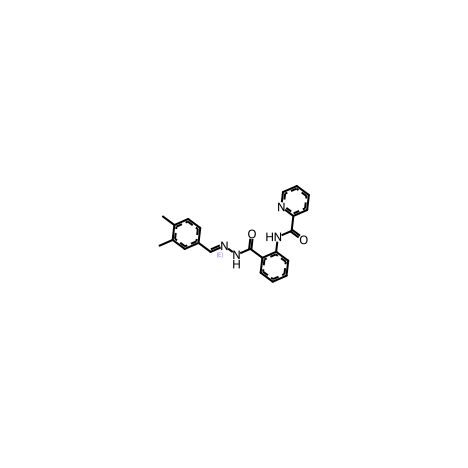 Cc1ccc(/C=N/NC(=O)c2ccccc2NC(=O)c2ccccn2)cc1C